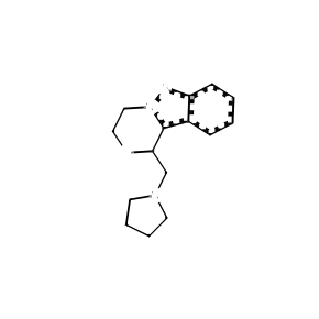 [Cl-].[H+].c1ccc2c3n(nc2c1)CCOC3CN1CCCC1